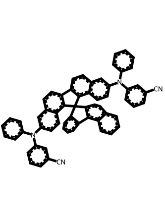 N#Cc1cccc(N(c2ccccc2)c2ccc3c4c(ccc3c2)-c2ccc3cc(N(c5ccccc5)c5cccc(C#N)c5)ccc3c2C42c3ccccc3-c3c2ccc2ccccc32)c1